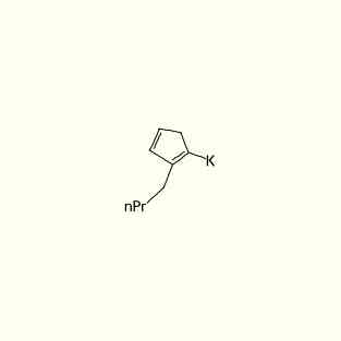 CCCCC1=[C]([K])CC=C1